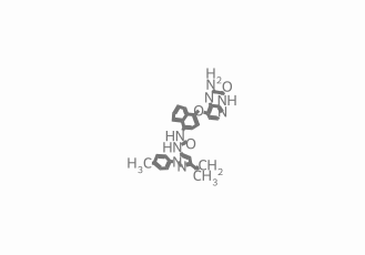 C=C(C)c1cc(NC(=O)Nc2ccc(Oc3ccnc4[nH]c(=O)c(N)nc34)c3ccccc23)n(-c2ccc(C)cc2)n1